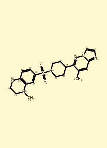 Cc1cc2nccn2nc1C1CCN(S(=O)(=O)c2ccc3c(c2)N(C)CCO3)CC1